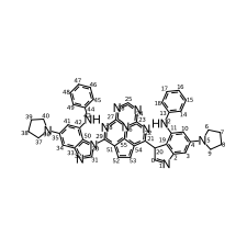 C1=Nc2cc(N3CCCC3)cc(Nc3ccccc3)c2C1c1nc2ncnc3nc(-n4cnc5cc(N6CCCC6)cc(Nc6ccccc6)c54)c4ccc1c4n23